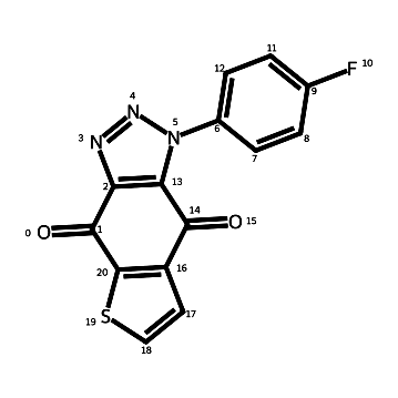 O=C1c2nnn(-c3ccc(F)cc3)c2C(=O)c2ccsc21